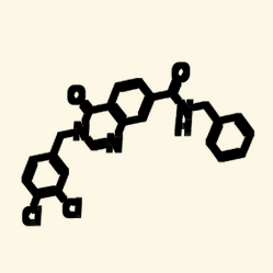 O=C(NCc1ccccc1)c1ccc2c(=O)n(Cc3ccc(Cl)c(Cl)c3)cnc2c1